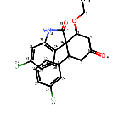 CCOC1CC(=O)CC(c2cccc(Cl)c2)C12C(=O)Nc1cc(Cl)ccc12